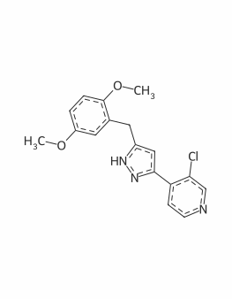 COc1ccc(OC)c(Cc2cc(-c3ccncc3Cl)n[nH]2)c1